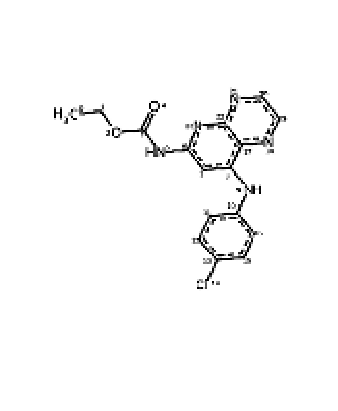 CCOC(=O)Nc1cc(Nc2ccc(Cl)cc2)c2nccnc2n1